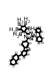 Bc1c(B)c(B)c(-c2nc(-c3ccc4c(c3)oc3ccc(-c5ccc6ccccc6c5)cc34)nc(-n3c4ccccc4c4ccccc43)n2)c(B)c1B